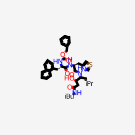 CCC(C)NC(=O)CC(O)C(CC(C)C)NC(=O)[C@H](Cc1cscn1)NC(=O)[C@H](Cc1cccc2ccccc12)NC(=O)OCc1ccccc1